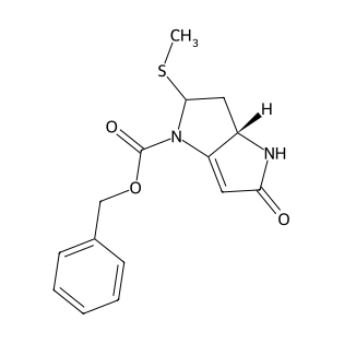 CSC1C[C@@H]2NC(=O)C=C2N1C(=O)OCc1ccccc1